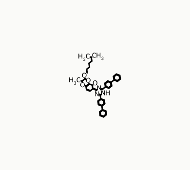 CC(C)CCCCCOC(=O)C(C)OC1=CC(=O)C(=C2N=C(c3ccc(-c4ccccc4)cc3)NC(c3ccc(-c4ccccc4)cc3)=N2)C=C1